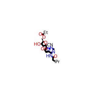 CCC(=O)OC[C@H]1O[C@@](C#N)(c2ccc3c(NC(=O)CC(C)C)ncnn23)[C@H](O)[C@@H]1O